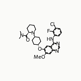 COc1cc2ncnc(Nc3cccc(Cl)c3F)c2cc1O[C@H]1CC[C@H](N2CCCC[C@@H]2C(=O)N(C)C)CC1